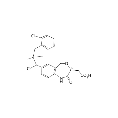 CC(C)(Cc1ccccc1Cl)C(Cl)c1ccc2c(c1)CO[C@@H](CC(=O)O)C(=O)N2